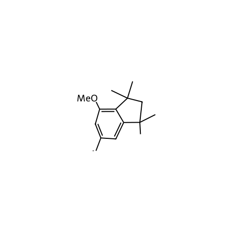 [CH2]c1cc(OC)c2c(c1)C(C)(C)CC2(C)C